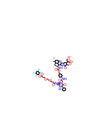 CC[C@@]1(O)C(=O)OCc2c1cc1n(c2=O)Cc2c-1nc1cc(F)c(C)c3c1c2C(NC(=O)OCc1ccc(NC(=O)CNC(=O)C(NC(=O)CNC(=O)CCOCCOCCC(=O)Oc2c(F)c(F)cc(F)c2F)c2ccccc2)cc1)CC3